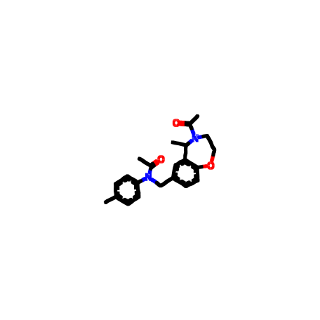 CC(=O)N(Cc1ccc2c(c1)C(C)N(C(C)=O)CCO2)c1ccc(C)cc1